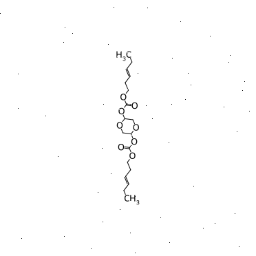 CCC=CCCOC(=O)OC1COC(OC(=O)OCCC=CCC)CO1